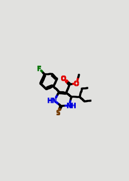 CCC(CC)C1NC(=S)NC(c2ccc(F)cc2)=C1C(=O)OC